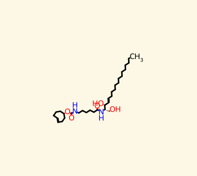 CCCCCCCCCCCCC/C=C/[C@@H](O)[C@H](CO)NC(=O)CCCCCNC(=O)OC1CC/C=C/CCC1